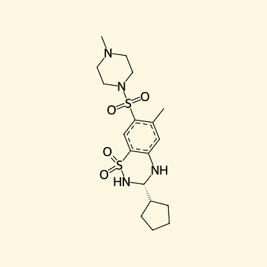 Cc1cc2c(cc1S(=O)(=O)N1CCN(C)CC1)S(=O)(=O)N[C@@H](C1CCCC1)N2